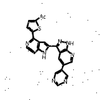 CC(=O)c1ccc(-c2nccc3[nH]c(-c4n[nH]c5ncc(-c6cncnc6)cc45)cc23)s1